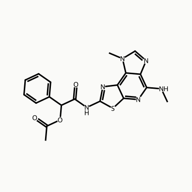 CNc1nc2sc(NC(=O)C(OC(C)=O)c3ccccc3)nc2c2c1ncn2C